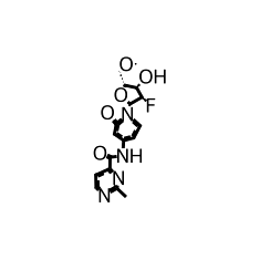 Cc1nccc(C(=O)Nc2ccn([C@@H]3O[C@H](C[O])[C@@H](O)[C@H]3F)c(=O)c2)n1